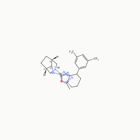 Cc1nnc(N2C[C@H]3CC[C@@H](C2)[C@@H]3Nc2nc3n(n2)CCCC3c2cc(C(F)(F)F)cc(C(F)(F)F)c2)o1